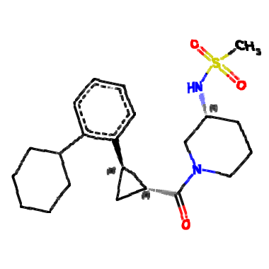 CS(=O)(=O)N[C@@H]1CCCN(C(=O)[C@@H]2C[C@H]2c2ccccc2C2CCCCC2)C1